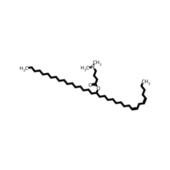 CCCC/C=C\C/C=C\CCCCCCCCC(CCCCCCCCCCCCCCCCC)OC(=O)CCCN(C)C